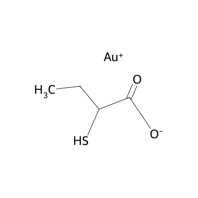 CCC(S)C(=O)[O-].[Au+]